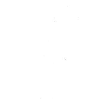 C1CCCCCCC1.c1ccc(-c2cccnc2)nc1